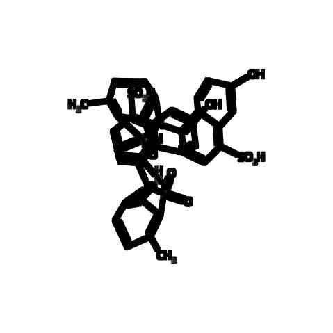 Cc1ccc2c(NC(=O)Nc3c4ccc(C)c3S(=O)(=O)N4c3ccc(S(=O)(=O)O)c4cc(O)ccc34)c1S(=O)(=O)N2c1ccc(S(=O)(=O)O)c2cc(O)ccc12